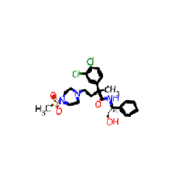 CC(CCN1CCN(S(C)(=O)=O)CC1)(C(=O)N[C@@H](CO)c1ccccc1)c1ccc(Cl)c(Cl)c1